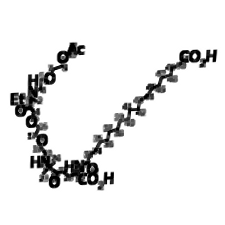 CC[C@@](C)(NCCOCCOCC(C)=O)C(=O)COCCOCCNC(C)(C)C(=O)CC[C@H](NC(=O)CCCCCCCCCCCCCCCCCCC(=O)O)C(=O)O